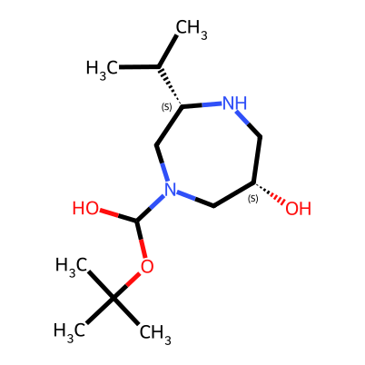 CC(C)[C@H]1CN(C(O)OC(C)(C)C)C[C@@H](O)CN1